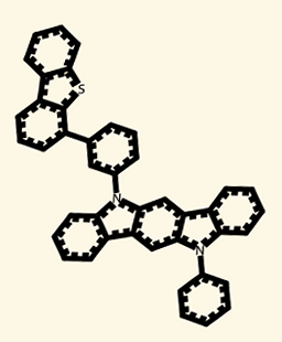 c1ccc(-n2c3ccccc3c3cc4c(cc32)c2ccccc2n4-c2cccc(-c3cccc4c3sc3ccccc34)c2)cc1